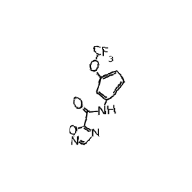 O=C(Nc1cccc(OC(F)(F)F)c1)c1ncno1